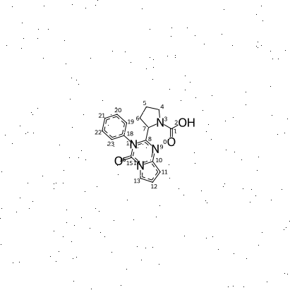 O=C(O)N1CCCC1c1nc2cccn2c(=O)n1-c1ccccc1